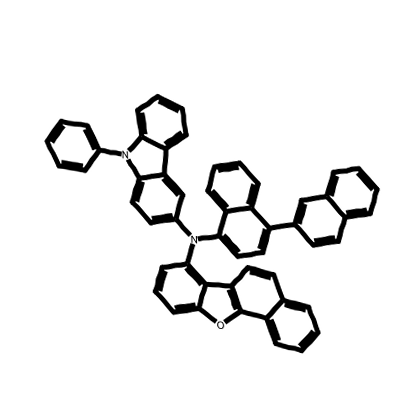 c1ccc(-n2c3ccccc3c3cc(N(c4ccc(-c5ccc6ccccc6c5)c5ccccc45)c4cccc5oc6c7ccccc7ccc6c45)ccc32)cc1